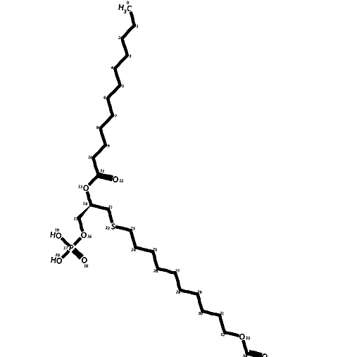 CCCCCCCCCCCC(=O)O[C@H](COP(=O)(O)O)CSCCCCCCCCCCOC=O